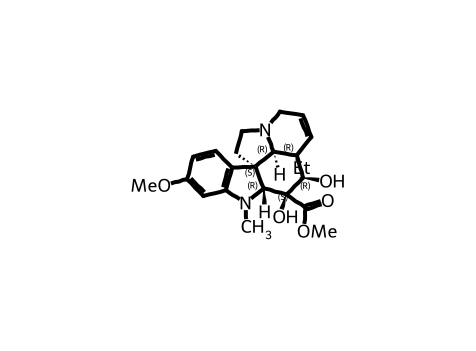 CC[C@]12C=CCN3CC[C@]4(c5ccc(OC)cc5N(C)[C@H]4[C@@](O)(C(=O)OC)[C@@H]1O)[C@@H]32